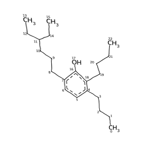 CCCCc1ccc(CCCC(CC)CC)c(O)c1CCCC